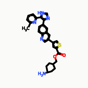 Cc1cccc(-c2[nH]cnc2-c2ccc3ncc(-c4csc(C(=O)OCC5CCC(N)CC5)c4)cc3c2)n1